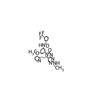 CCNc1ncc2c(CCc3ccccn3)n(-c3cc(NC(=O)c4cccc(C(F)(F)F)c4)cc(OC)c3)c(=O)nc2n1